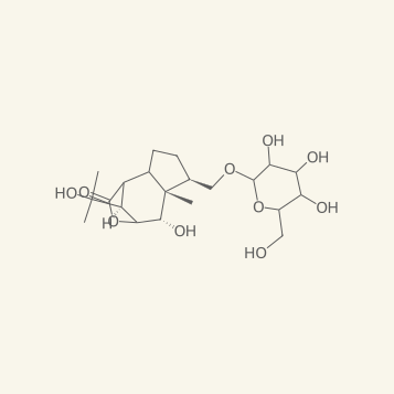 CC(C)(O)[C@H]1C2C(=O)OC1[C@@H](O)[C@]1(C)C2CC[C@H]1COC1OC(CO)C(O)C(O)C1O